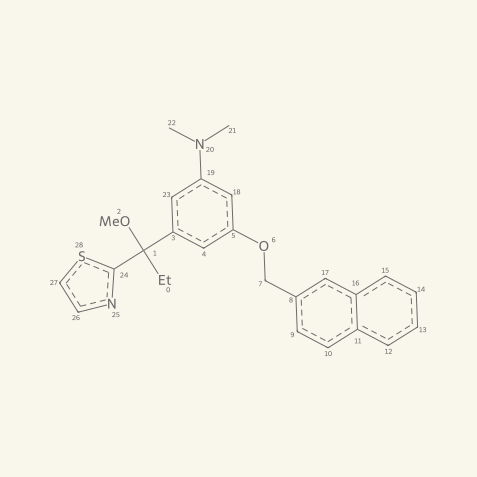 CCC(OC)(c1cc(OCc2ccc3ccccc3c2)cc(N(C)C)c1)c1nccs1